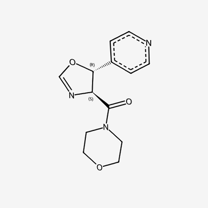 O=C([C@H]1N=CO[C@@H]1c1ccncc1)N1CCOCC1